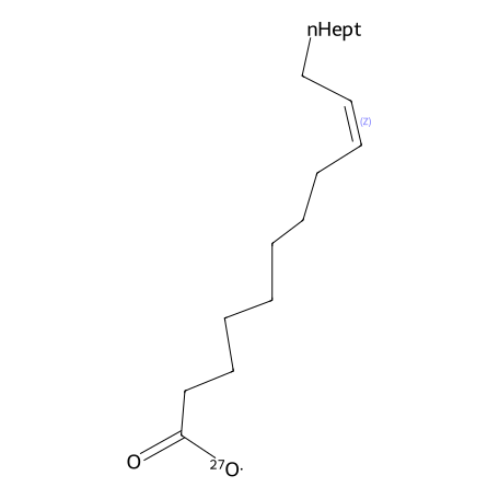 CCCCCCCC/C=C\CCCCCCCC(=O)[27O]